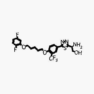 N[C@@H](CO)c1nnc(-c2ccc(OCCCCCOc3cc(F)ccc3F)c(C(F)(F)F)c2)s1